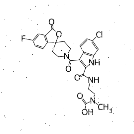 CN(CCNC(=O)c1[nH]c2cc(Cl)ccc2c1C(=O)N1CCC2(CC1)OC(=O)c1cc(F)ccc12)C(=O)O